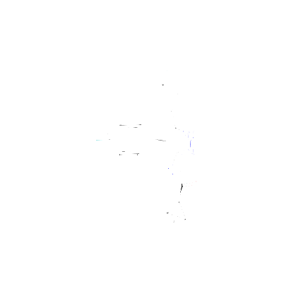 Cn1nc(C2CC(F)(F)C2)c(-c2ccc(F)cc2)c1NC(=O)[C@H]1CC1(C)C